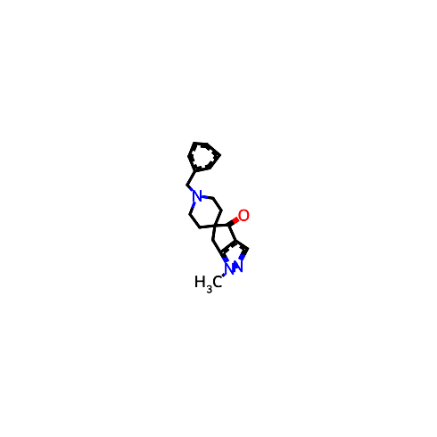 Cn1ncc2c1CC1(CCN(Cc3ccccc3)CC1)C2=O